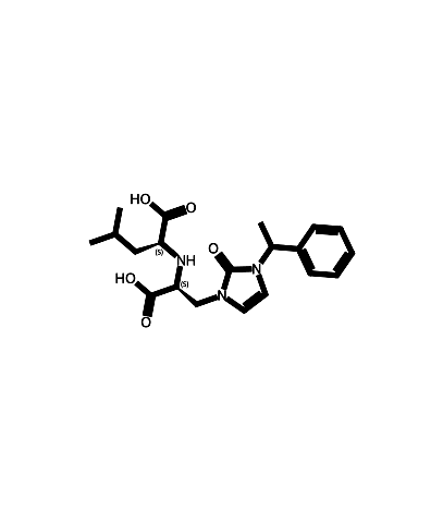 CC(C)C[C@H](N[C@@H](Cn1ccn(C(C)c2ccccc2)c1=O)C(=O)O)C(=O)O